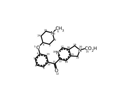 CN1CCC(Oc2cccc(C(=O)c3cc4c(cn3)CN(C(=O)O)C4)c2)CC1